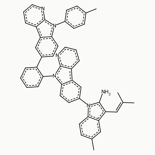 CC(C)=Cc1c(N)n(-c2ccc3c(c2)c2cccnc2n3-c2ccccc2-c2ccc3c(c2)c2cccnc2n3-c2ccc(C)cc2)c2ccc(C)cc12